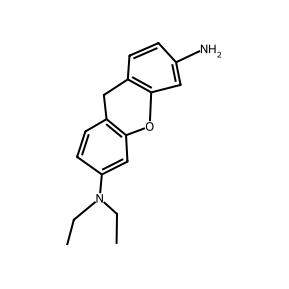 CCN(CC)c1ccc2c(c1)Oc1cc(N)ccc1C2